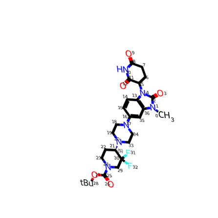 Cn1c(=O)n(C2CCC(=O)NC2=O)c2ccc(N3CCN([C@H]4CCN(C(=O)OC(C)(C)C)CC4(F)F)CC3)cc21